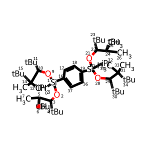 CC(C)[Si](OC(C(C)(C)C)C(C)(C)C(C)(C)C)(OC(C(C)(C)C)C(C)(C)C(C)(C)C)c1ccc([Si](OC(C(C)(C)C)C(C)(C)C(C)(C)C)(OC(C(C)(C)C)C(C)(C)C(C)(C)C)C(C)C)cc1